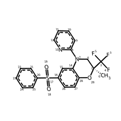 C[C@@]1(C(F)(F)F)CN(c2ccccn2)c2cc(S(=O)(=O)c3ccccc3)ccc2O1